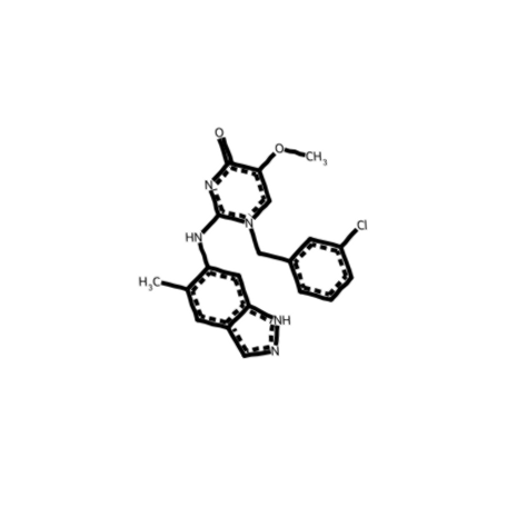 COc1cn(Cc2cccc(Cl)c2)c(Nc2cc3[nH]ncc3cc2C)nc1=O